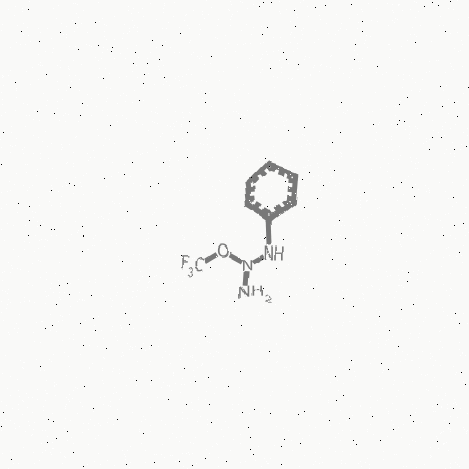 NN(Nc1ccccc1)OC(F)(F)F